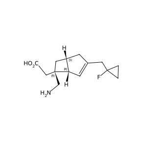 NC[C@@]1(CC(=O)O)C[C@@H]2CC(CC3(F)CC3)=C[C@@H]21